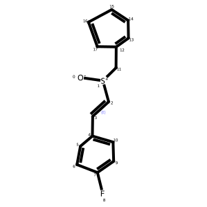 [O-][S+](/C=C/c1ccc(F)cc1)Cc1ccccc1